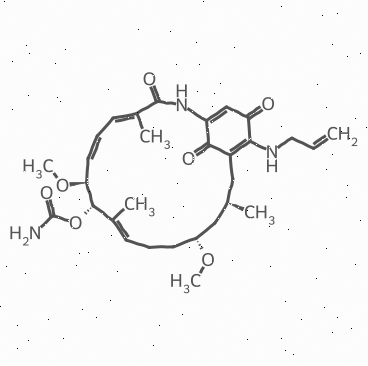 C=CCNC1=C2C[C@@H](C)C[C@H](OC)CC/C=C(\C)[C@H](OC(N)=O)[C@@H](OC)/C=C\C=C(/C)C(=O)NC(=CC1=O)C2=O